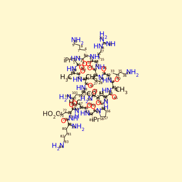 CC(C)[C@H](NC(=O)[C@H](CCCCN)NC(=O)[C@H](CCCNC(=N)N)NC(=O)[C@@H]1CCCN1C(=O)[C@H](CCCCN)NC(=O)[C@H](C)NC(=O)[C@H](CCC(N)=O)NC(=O)[C@@H]1CCCN1C(=O)[C@@H](NC(=O)[C@H](C)NC(=O)[C@H](CCC(=O)O)NC(=O)[C@@H](N)CCCCN)C(C)C)C(=O)N[C@@H](C)C(=O)N[C@@H](C)C(=O)N[C@@H](CCC(N)=O)C(=O)O